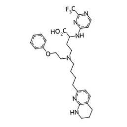 O=C(O)C(CCN(CCCCc1ccc2c(n1)NCCC2)CCOc1ccccc1)Nc1ccnc(C(F)(F)F)n1